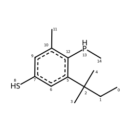 CCC(C)(C)c1cc(S)cc(C)c1PC